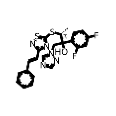 C[C@@H](Sc1nc(C=Cc2ccccc2)ns1)C(O)(Cn1cncn1)c1ccc(F)cc1F